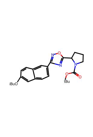 CC(C)COc1ccc2cc(-c3noc(C4CCCN4C(=O)OC(C)(C)C)n3)ccc2c1